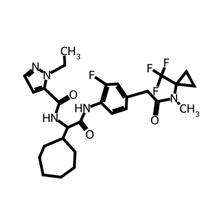 CCn1nccc1C(=O)NC(C(=O)Nc1ccc(CC(=O)N(C)C2(C(F)(F)F)CC2)cc1F)C1CCCCCC1